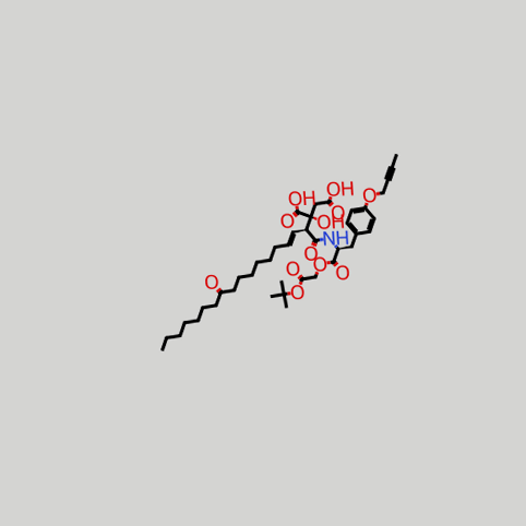 CC#CCOc1ccc(C[C@H](NC(=O)[C@@H](C=CCCCCCCC(=O)CCCCCCC)[C@@](O)(CC(=O)O)C(=O)O)C(=O)OCC(=O)OC(C)(C)C)cc1